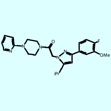 COc1cc(-c2cc(C(C)C)n(CC(=O)N3CCN(c4ccccn4)CC3)n2)ccc1F